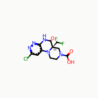 O=C(O)N1CCN2c3cc(Cl)nnc3NC(=O)[C@]2(C(F)F)C1